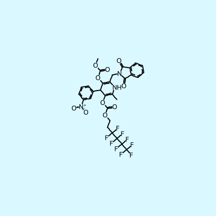 COC(=O)OC1=C(CN2C(=O)c3ccccc3C2=O)NC(C)=C(OC(=O)OCCC(F)(F)C(F)(F)C(F)(F)C(F)(F)F)C1c1cccc([N+](=O)[O-])c1